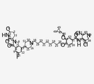 O=C1CCC(N2Cc3c(cc(F)cc3C3CCN(CCCCCCCCCOc4ccc(C(=O)Nc5c(Cl)cncc5Cl)cc4OCC4CC4)CC3)C2=O)C(=O)N1